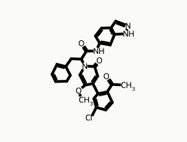 COc1cn(C(CC2=CC=CCC2)C(=O)Nc2ccc3cn[nH]c3c2)c(=O)cc1-c1cc(Cl)ccc1C(C)=O